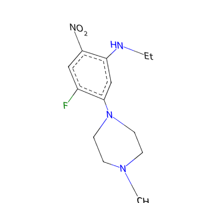 CCNc1cc(N2CCN(C)CC2)c(F)cc1[N+](=O)[O-]